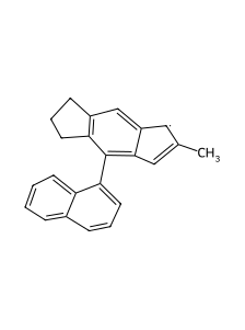 CC1=Cc2c(cc3c(c2-c2cccc4ccccc24)CCC3)[CH]1